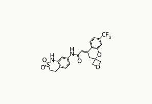 O=C(C=C1CC2(COC2)Oc2cc(C(F)(F)F)ccc21)Nc1ccc2c(c1)NS(=O)(=O)CC2